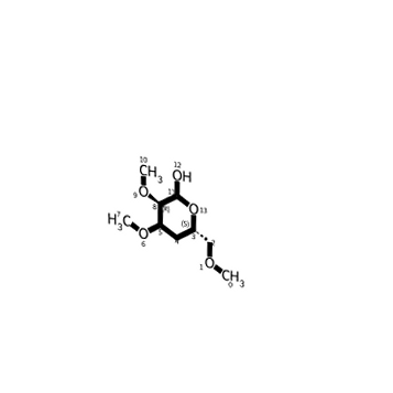 COC[C@@H]1CC(OC)[C@@H](OC)C(O)O1